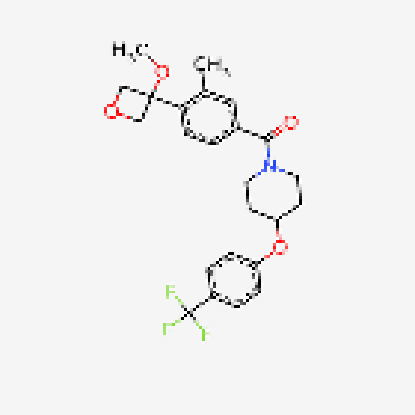 COC1(c2ccc(C(=O)N3CCC(Oc4ccc(C(F)(F)F)cc4)CC3)cc2C)COC1